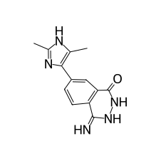 Cc1nc(-c2ccc3c(=N)[nH][nH]c(=O)c3c2)c(C)[nH]1